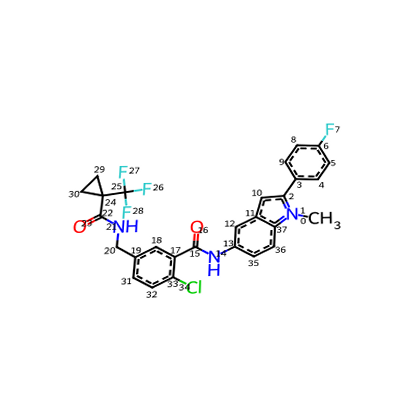 Cn1c(-c2ccc(F)cc2)cc2cc(NC(=O)c3cc(CNC(=O)C4(C(F)(F)F)CC4)ccc3Cl)ccc21